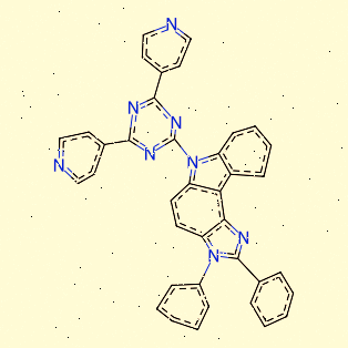 c1ccc(-c2nc3c4c5ccccc5n(-c5nc(-c6ccncc6)nc(-c6ccncc6)n5)c4ccc3n2-c2ccccc2)cc1